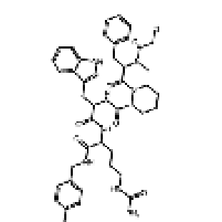 Cc1ccc(CNC(=O)C(CCCNC(N)=O)NC(=O)C(Cc2c[nH]c3ccccc23)NC(=O)[C@@H]2CCCCN2C(=O)C(Cc2ccccc2)N(C)C(=O)CCl)cc1